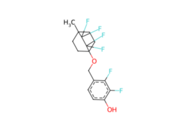 CC12CCC(OCc3ccc(O)c(F)c3F)(CC1)C(F)(F)C2(F)F